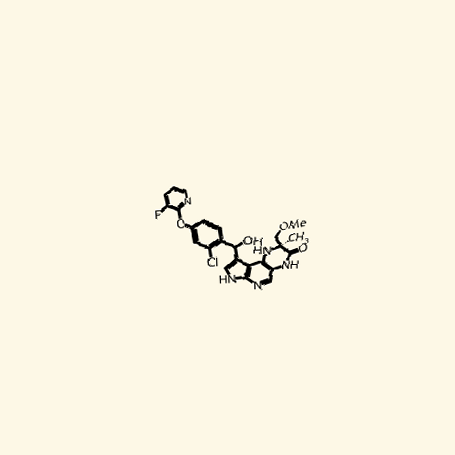 COC[C@]1(C)Nc2c(cnc3[nH]cc(C(O)c4ccc(Oc5ncccc5F)cc4Cl)c23)NC1=O